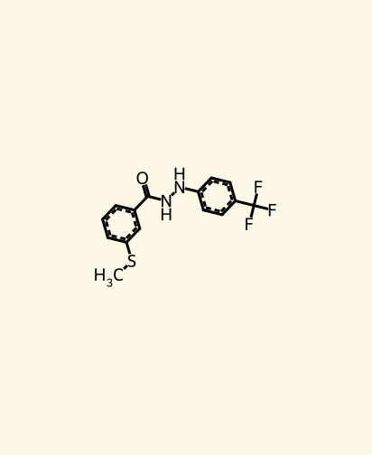 CSc1cccc(C(=O)NNc2ccc(C(F)(F)F)cc2)c1